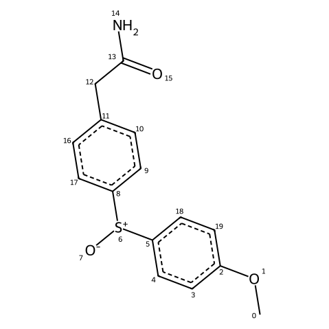 COc1ccc([S+]([O-])c2ccc(CC(N)=O)cc2)cc1